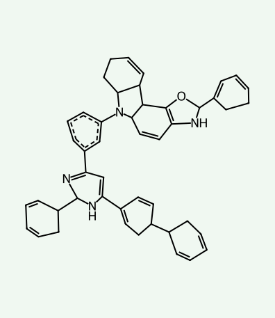 C1=CCCC(C2NC3=C(O2)C2C4C=CCCC4N(c4cccc(C5=NC(C6C=CC=CC6)NC(C6=CCC(C7C=CC=CC7)C=C6)=C5)c4)C2C=C3)=C1